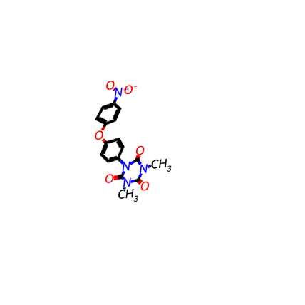 Cn1c(=O)n(C)c(=O)n(-c2ccc(Oc3ccc([N+](=O)[O-])cc3)cc2)c1=O